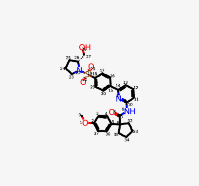 COc1ccc(C2(C(=O)Nc3cccc(-c4ccc(S(=O)(=O)N5CCC[C@@H]5CO)cc4)n3)CCCC2)cc1